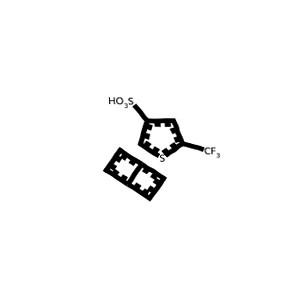 O=S(=O)(O)c1csc(C(F)(F)F)c1.c1cc2ccc1-2